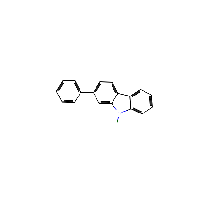 Fn1c2ccccc2c2ccc(-c3ccccc3)cc21